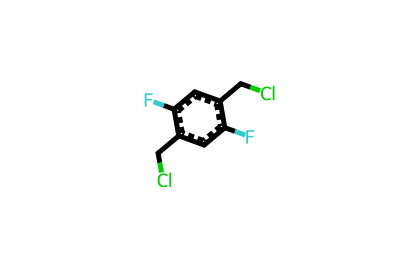 Fc1cc(CCl)c(F)cc1CCl